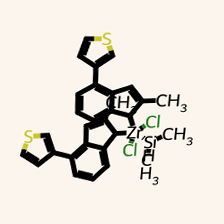 CC1=Cc2c(-c3ccsc3)cccc2[CH]1[Zr]([Cl])([Cl])([CH]1C(C)=Cc2c(-c3ccsc3)cccc21)[SiH](C)C